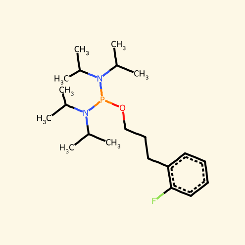 CC(C)N(C(C)C)P(OCCCc1ccccc1F)N(C(C)C)C(C)C